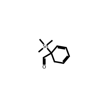 [CH3][Sn]([CH3])([CH3])[C]1(C=O)C=CC=CC1